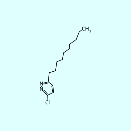 CCCCCCCCCCc1ccc(Cl)nn1